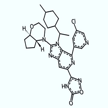 CC1CCC(C(C)n2c(N3CCO[C@@H]4CCC[C@H]43)nc3cc(-c4noc(=O)[nH]4)nc(-c4cncc(Cl)c4)c32)CC1